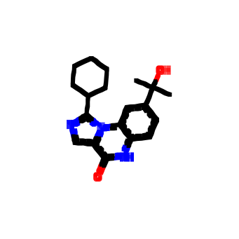 CC(C)(O)c1ccc2[nH]c(=O)c3cnc(C4CCCCC4)n3c2c1